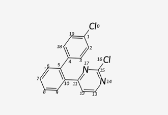 Clc1ccc(-c2[c]cccc2-c2ccnc(Cl)n2)cc1